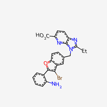 CCc1nc2ccc(C(=O)O)nc2n1Cc1ccc2oc(-c3ccccc3N)c(Br)c2c1